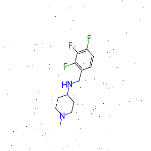 CN1CCC(NCc2ccc(F)c(F)c2F)CC1